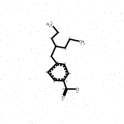 CCCC(CCC)Cc1ccc(C(=O)Cl)cc1